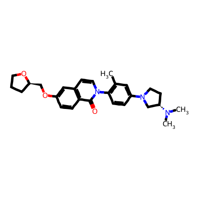 Cc1cc(N2CC[C@H](N(C)C)C2)ccc1-n1ccc2cc(OC[C@H]3CCCO3)ccc2c1=O